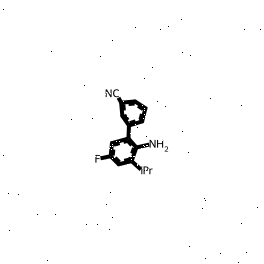 CC(C)c1cc(F)cc(-c2cccc(C#N)c2)c1N